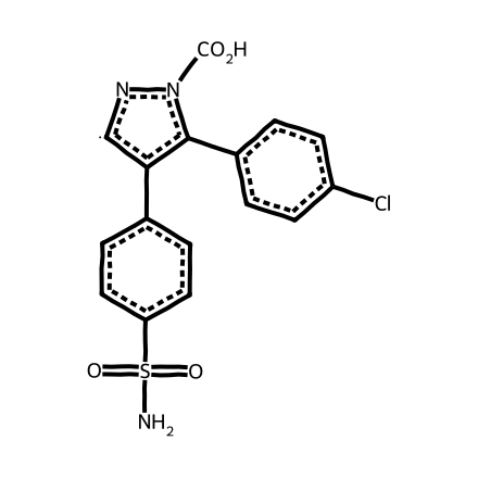 NS(=O)(=O)c1ccc(-c2[c]nn(C(=O)O)c2-c2ccc(Cl)cc2)cc1